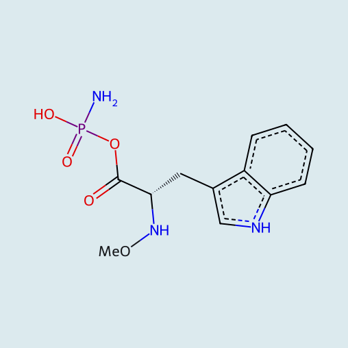 CON[C@@H](Cc1c[nH]c2ccccc12)C(=O)OP(N)(=O)O